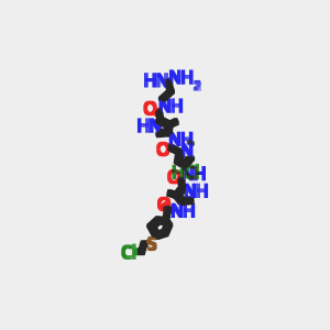 Cc1c(NC(=O)c2ccc(SCCCl)cc2)c[nH]c1C(=O)Nc1cc(C(=O)Nc2c[nH]c(C(=O)NCCC(=N)N)c2C)n(C)c1.Cl